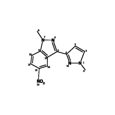 Cn1ccc(-c2nn(C)c3ccc([N+](=O)[O-])cc23)n1